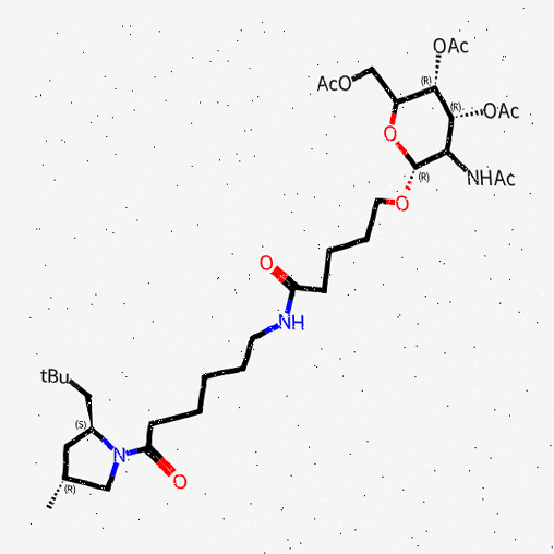 CC(=O)NC1[C@H](OCCCCC(=O)NCCCCCC(=O)N2C[C@H](C)C[C@H]2CC(C)(C)C)OC(COC(C)=O)[C@H](OC(C)=O)[C@@H]1OC(C)=O